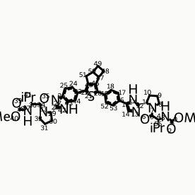 COC(=O)N[C@H](C(=O)N1CCC[C@H]1c1ncc(-c2ccc(-c3sc(-c4ccc5nc([C@@H]6CCCN6C(=O)[C@@H](NC(=O)OC)C(C)C)[nH]c5c4)c4c3C3CCC3C4)cc2)[nH]1)C(C)C